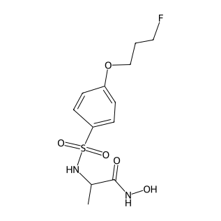 CC(NS(=O)(=O)c1ccc(OCCCF)cc1)C(=O)NO